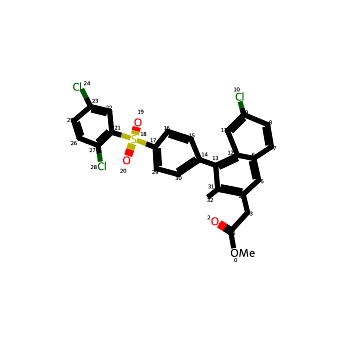 COC(=O)Cc1cc2ccc(Cl)cc2c(-c2ccc(S(=O)(=O)c3cc(Cl)ccc3Cl)cc2)c1C